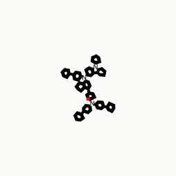 C1=CC2c3cc(N(c4ccc(-c5ccccc5)cc4)c4ccc(-c5ccc(N(c6ccc(-c7ccccc7)cc6)c6ccc(-c7ccccc7)cc6)cc5)c5ccccc45)ccc3N(c3ccccc3)C2C=C1